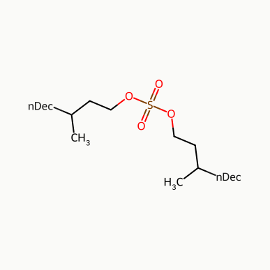 CCCCCCCCCCC(C)CCOS(=O)(=O)OCCC(C)CCCCCCCCCC